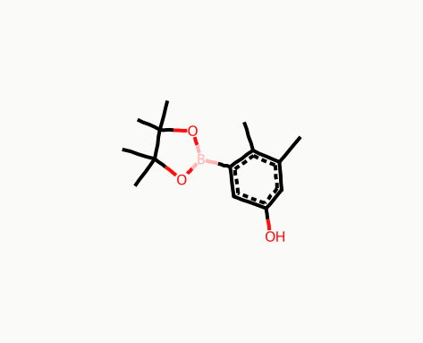 Cc1cc(O)cc(B2OC(C)(C)C(C)(C)O2)c1C